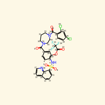 O=C(c1ccc(NS(=O)(=O)c2cccc3cccnc23)c(OC(=O)C(F)(F)F)c1)N1CCCN(C(=O)c2ccc(Cl)cc2Cl)CC1